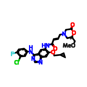 COC[C@H]1CN(CC=CC(=O)Nc2cc3c(Nc4ccc(F)c(Cl)c4)ncnc3cc2OCC2CC2)CC(=O)O1